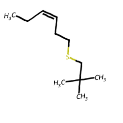 CC/C=C\CCSCC(C)(C)C